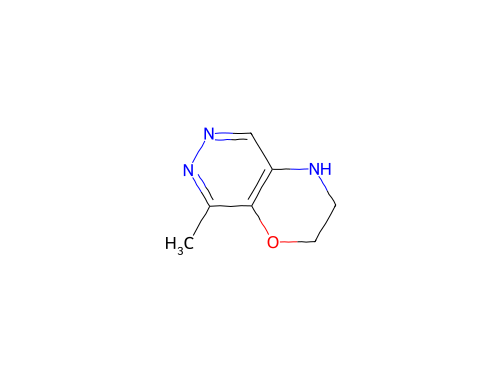 Cc1nncc2c1OCCN2